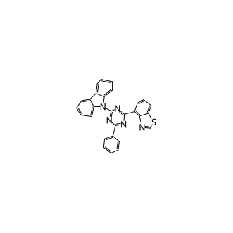 c1ccc(-c2nc(-c3cccc4scnc34)nc(-n3c4ccccc4c4ccccc43)n2)cc1